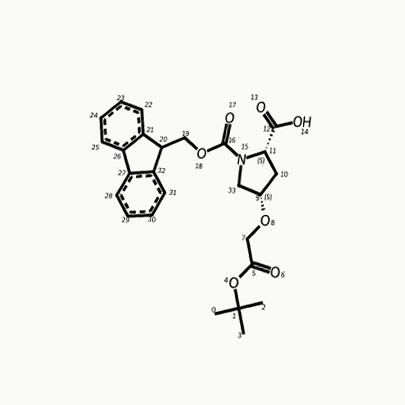 CC(C)(C)OC(=O)CO[C@H]1C[C@@H](C(=O)O)N(C(=O)OCC2c3ccccc3-c3ccccc32)C1